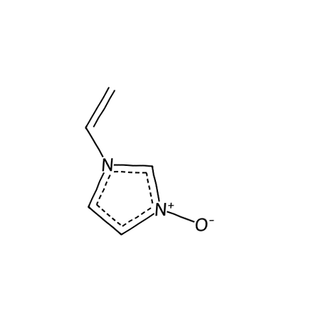 C=Cn1cc[n+]([O-])c1